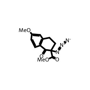 COC(=O)C1(N=[N+]=[N-])CCc2cc(OC)ccc2C1=O